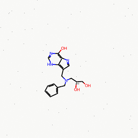 OC[C@@H](O)CN(Cc1ccccc1)Cc1cnc2c(O)nc[nH]c1-2